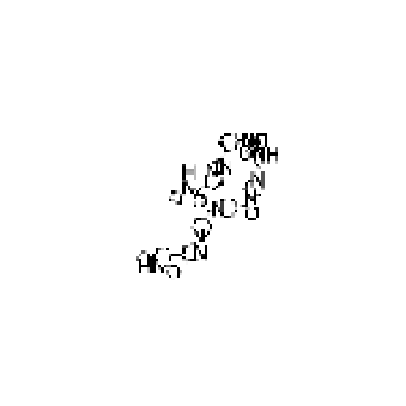 O=C1CCC(c2ccnc(N3CCC(CN4CCC(C(=O)N5CCN(CCNS(=O)(=O)Nc6cccc(-c7cn8cc(C(=O)NC9CCC9)ccc8n7)c6)CC5)CC4)CC3)c2)C(=O)N1